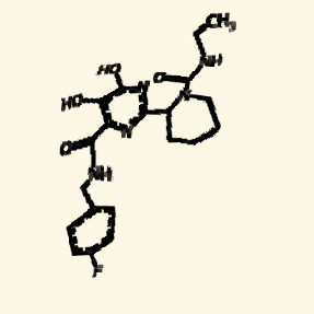 CCNC(=O)N1CCCCC1c1nc(O)c(O)c(C(=O)NCc2ccc(F)cc2)n1